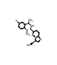 C#Cc1cnc2ccc(CNC(C)c3cc(F)ccc3OC)nn12